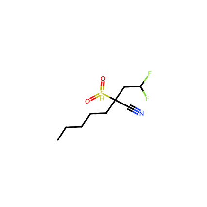 CCCCCC(C#N)(CC(F)F)[SH](=O)=O